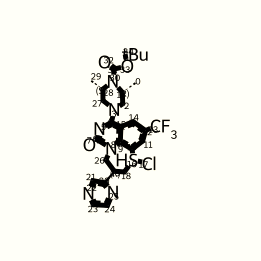 C[C@@H]1CN(c2nc(=O)n3c4c(cc(C(F)(F)F)cc24)[SH](Cl)C[C@@H](c2cnccn2)C3)C[C@H](C)N1C(=O)OC(C)(C)C